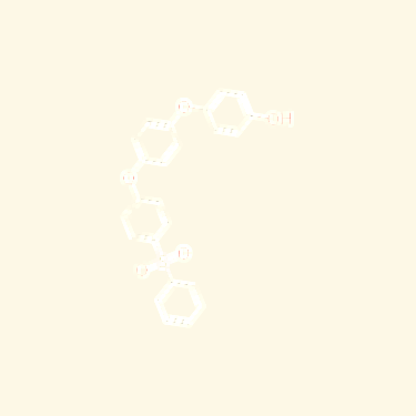 O=S(=O)(c1ccccc1)c1ccc(Oc2ccc(Oc3ccc(O)cc3)cc2)cc1